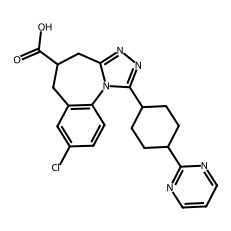 O=C(O)C1Cc2cc(Cl)ccc2-n2c(nnc2C2CCC(c3ncccn3)CC2)C1